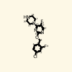 Fc1cc(Cl)ccc1COc1ncc(F)c(N2CCNCC2)n1